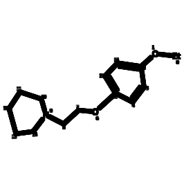 CCOc1ccc(OCCN2CCCCC2)cc1